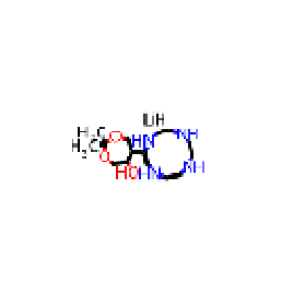 CC1(C)OCC(O)C(C2CNCCNCCNCCN2)CO1.[LiH]